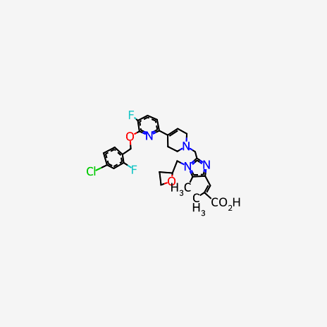 C/C(=C\c1nc(CN2CC=C(c3ccc(F)c(OCc4ccc(Cl)cc4F)n3)CC2)n(CC2CCO2)c1C)C(=O)O